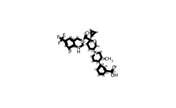 C=C(N1CNc2c(F)cc(C(F)(F)F)cc2C1)[C@@]1(C2CC2)CC[C@@H](N2CC[C@H](c3cccc(C(=O)O)c3)[C@@H](C)C2)CO1